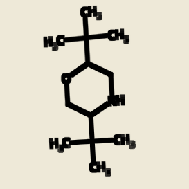 CC(C)(C)C1COC(C(C)(C)C)CN1